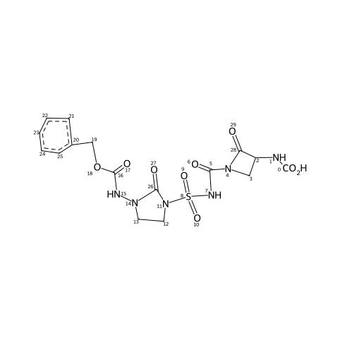 O=C(O)NC1CN(C(=O)NS(=O)(=O)N2CCN(NC(=O)OCc3ccccc3)C2=O)C1=O